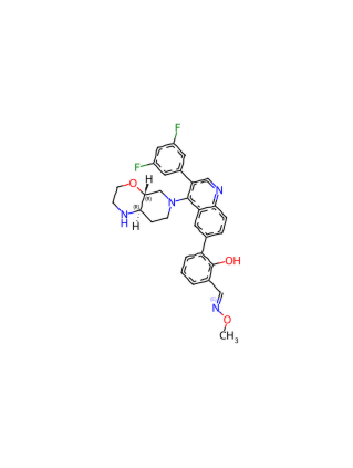 CO/N=C/c1cccc(-c2ccc3ncc(-c4cc(F)cc(F)c4)c(N4CC[C@H]5NCCO[C@@H]5C4)c3c2)c1O